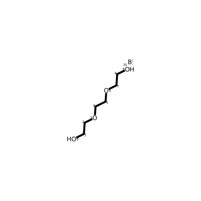 OCCOCCOCCO.[B]